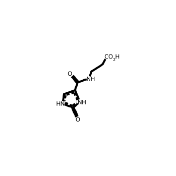 O=C(O)CCNC(=O)c1c[nH]c(=O)[nH]1